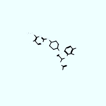 CNc1nc(NC2CCC(NC(=O)C(OC(=O)C(F)(F)F)Oc3cccc(Cl)c3Cl)CC2)ncc1C